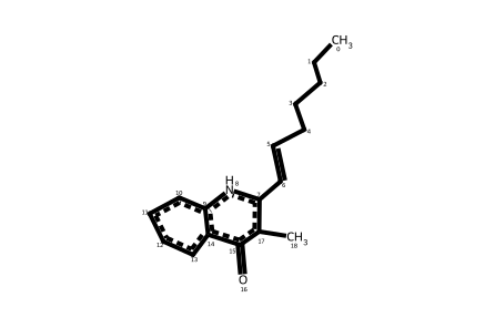 CCCCCC=Cc1[nH]c2ccccc2c(=O)c1C